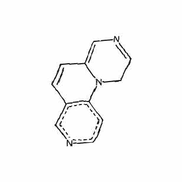 C1=Cc2cnccc2N2CC=NC=C12